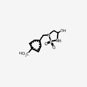 O=C(O)c1ccc(CN2CC(O)NS2(=O)=O)cc1